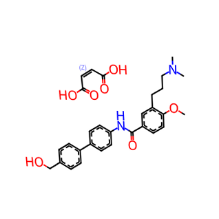 COc1ccc(C(=O)Nc2ccc(-c3ccc(CO)cc3)cc2)cc1CCCN(C)C.O=C(O)/C=C\C(=O)O